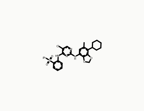 Cc1cc(Nc2ncc(Cl)c(Nc3ccccc3S(=O)(=O)C(C)C)n2)c2c(c1C1CCCCC1)OCO2